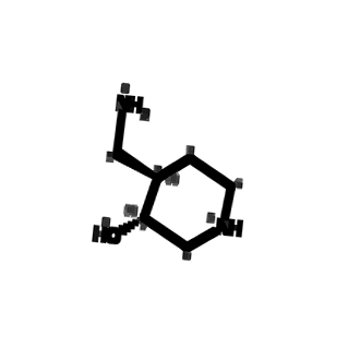 NC[C@H]1CCNC[C@@H]1O